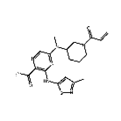 C=CC(=O)N1CCCC(N(C)c2cnc(C(N)=O)c(Nc3cc(C)ns3)n2)C1